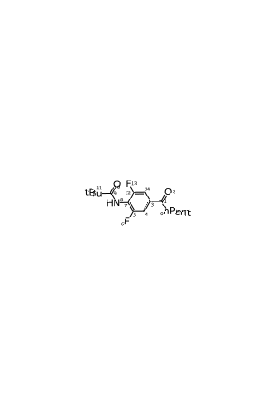 CCCCCC(=O)c1cc(F)c(NC(=O)C(C)(C)C)c(F)c1